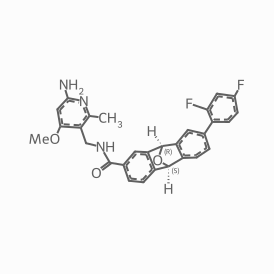 COc1cc(N)nc(C)c1CNC(=O)c1ccc2c(c1)[C@@H]1O[C@H]2c2ccc(-c3ccc(F)cc3F)cc21